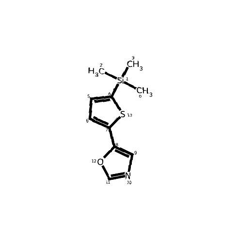 C[Si](C)(C)c1ccc(-c2cnco2)s1